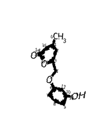 Cc1cc(COc2cccc(O)c2)oc(=O)c1